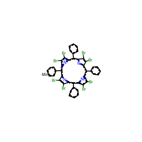 BrC1=C(Br)c2nc1c(-c1ccccc1)c1[nH]c(c(Br)c1Br)c(-c1ccccc1)c1nc(c(-c3ccccc3)c3[nH]c(c(Br)c3Br)c2-c2ccccc2)C(Br)=C1Br.[Mn]